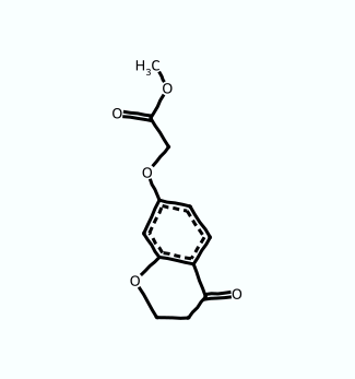 COC(=O)COc1ccc2c(c1)OCCC2=O